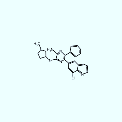 CN1CCC(Sc2nc(-c3cc(Cl)c4ncccc4c3)c(-c3ccccc3)nc2N)C1